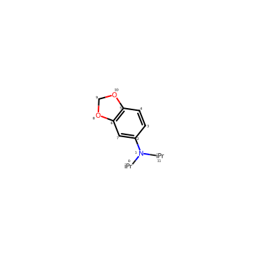 CC(C)N(c1ccc2c(c1)OCO2)C(C)C